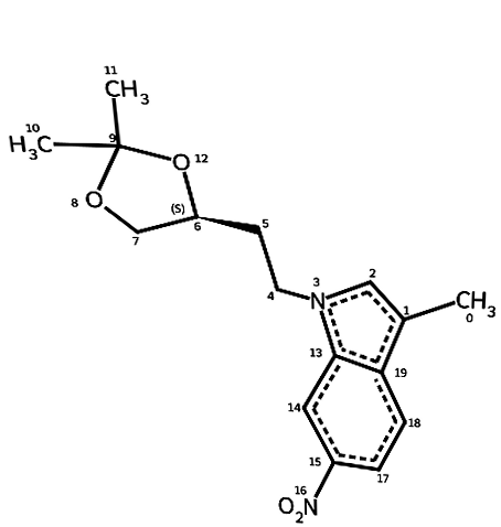 Cc1cn(CC[C@H]2COC(C)(C)O2)c2cc([N+](=O)[O-])ccc12